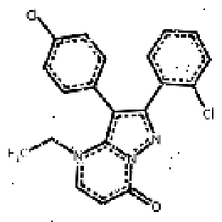 O=c1ccn(CC(F)(F)F)c2c(-c3ccc(Cl)cc3)c(-c3ccccc3Cl)nn12